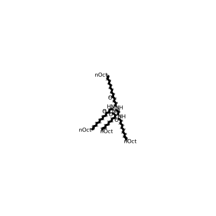 CCCCCCCCC=CCCCCCCCC(=O)CCCC(NCCCNC(=O)CCCCCCCC=CCCCCCCCC)NC(CCC(=O)CCCCCCCC=CCCCCCCCC)NC(=O)CCCCCCCC=CCCCCCCCC